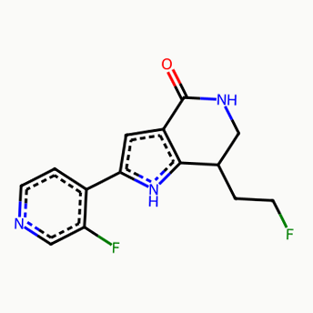 O=C1NCC(CCF)c2[nH]c(-c3ccncc3F)cc21